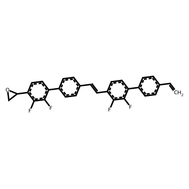 C=Cc1ccc(-c2ccc(/C=C/c3ccc(-c4ccc(C5CO5)c(F)c4F)cc3)c(F)c2F)cc1